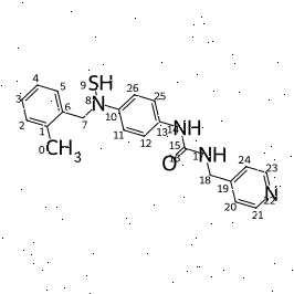 Cc1ccccc1CN(S)c1ccc(NC(=O)NCc2ccncc2)cc1